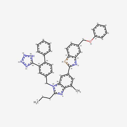 CCCc1nc2c(C)cc(-c3nc4cc(COc5ccccc5)ccc4s3)cc2n1Cc1ccc(-c2ccccc2)c(-c2nnn[nH]2)c1